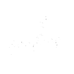 C=CC(=O)NCC(=O)N[C@H](CCCNC(=N)N)C(=O)NCC(=O)N[C@H](CC(=O)O)C(C)=O